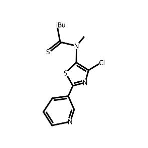 CCC(C)C(=S)N(C)c1sc(-c2cccnc2)nc1Cl